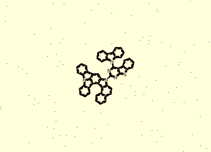 c1ccc2c(c1)ccc1c2c2c3c4ccccc4n4c5ccccc5c(cc2n1-c1nc(-n2c5ccccc5c5ccccc52)c2c(n1)sc1ccccc12)c34